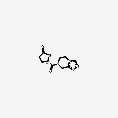 O=C1CC[C@@H](C(=O)N2CCn3cnnc3C2)N1